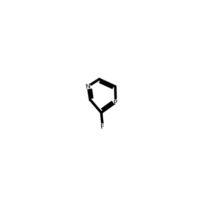 Fc1cnccp1